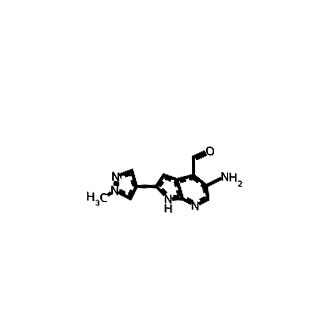 Cn1cc(-c2cc3c(C=O)c(N)cnc3[nH]2)cn1